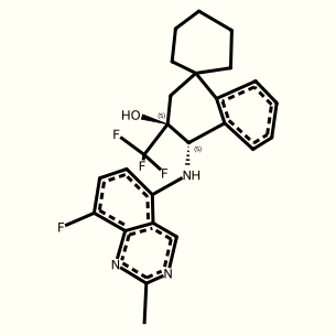 Cc1ncc2c(N[C@H]3c4ccccc4C4(CCCCC4)C[C@@]3(O)C(F)(F)F)ccc(F)c2n1